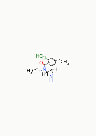 CCCN1C(=O)c2c(Cl)cc(CC)cc2[C@H]2CNC[C@@H]21.Cl